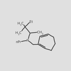 CCCN(CC1=CCCCC=C1)C(C)C(C)(C)CC